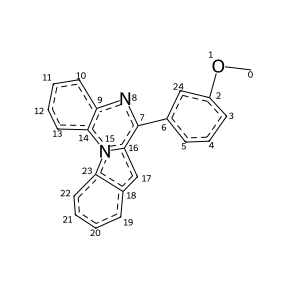 COc1cccc(-c2nc3ccccc3n3c2cc2ccccc23)c1